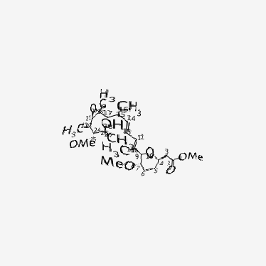 COC(=O)C[C@H]1C=C[C@H](OC)[C@@H](/C(C)=C/C=C/[C@@H](C)C[C@@]2(C)O[C@@H]2[C@H](C)[C@@H](OC)[C@@H](C)O)O1